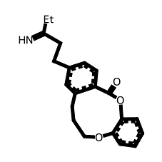 CCC(=N)CCc1ccc2c(c1)CCCOc1ccccc1OC2=O